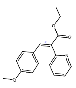 CCOC(=O)/C(=C/c1ccc(OC)cc1)c1ccccn1